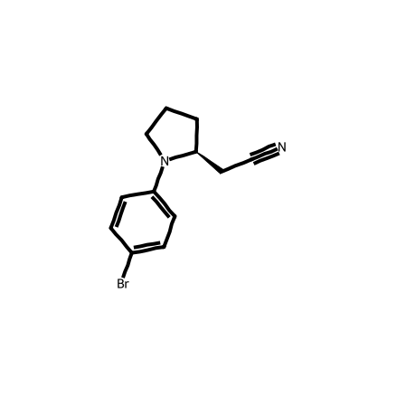 N#CC[C@@H]1CCCN1c1ccc(Br)cc1